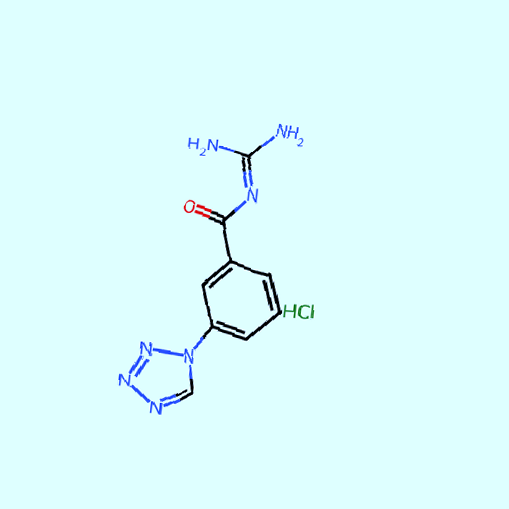 Cl.NC(N)=NC(=O)c1cccc(-n2cnnn2)c1